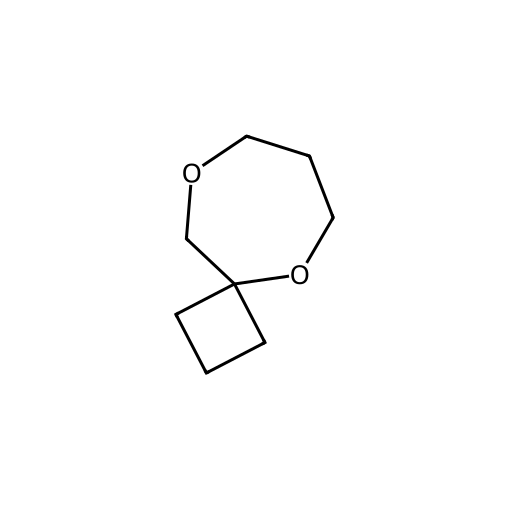 C1COCC2(CCC2)OC1